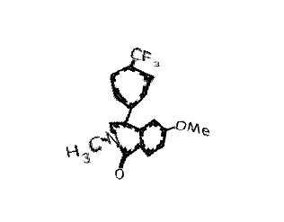 COc1ccc2c(=O)n(C)cc(-c3ccc(C(F)(F)F)cc3)c2c1